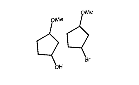 COC1CCC(Br)C1.COC1CCC(O)C1